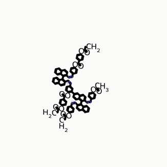 C=CC(=O)Oc1ccc(/C=C\c2ccc3ccccc3c2-c2c(/C=C\c3ccc(OC(C)=O)cc3)ccc3cc(-c4cc(/C=C\c5ccc6ccccc6c5-c5c(/C=C\c6ccc(OC(=O)c7ccc(OC(=O)C=C)cc7)cc6)ccc6ccccc56)ccc4OC(=O)c4ccc(OC(=O)C=C)cc4)ccc23)cc1